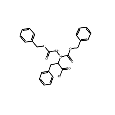 O=C(NN(C(=O)OCc1ccccc1)C(Cc1ccccc1)C(=O)O)OCc1ccccc1